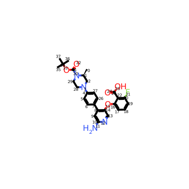 C[C@H]1CN(c2ccc(-c3cc(N)ncc3Oc3cccc(F)c3C(=O)O)cc2)CCN1C(=O)OC(C)(C)C